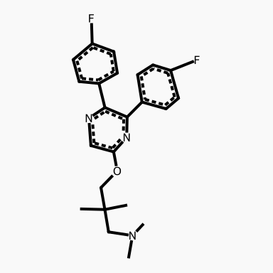 CN(C)CC(C)(C)COc1cnc(-c2ccc(F)cc2)c(-c2ccc(F)cc2)n1